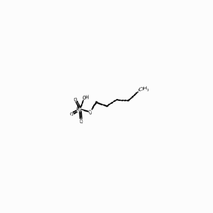 CCCCC[O][Ru](=[O])(=[O])(=[O])[OH]